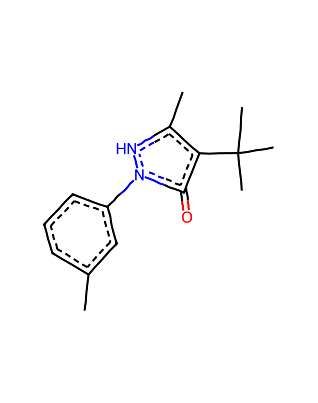 Cc1cccc(-n2[nH]c(C)c(C(C)(C)C)c2=O)c1